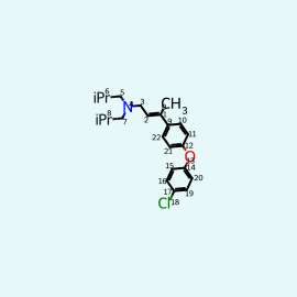 CC(=CCN(CC(C)C)CC(C)C)c1ccc(Oc2ccc(Cl)cc2)cc1